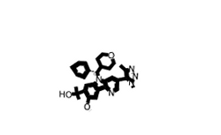 COc1cc2c3ncc(-c4c(C)nnn4C)cc3n([C@H](c3ccccc3)C3CCOCC3)c2cc1C(C)(C)O